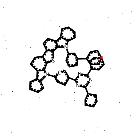 c1ccc(-c2cccc(-n3c4ccccc4c4ccc5c6ccc7c8ccccc8n(-c8ccc(-c9nc(-c%10ccccc%10)nc(-c%10ccccc%10)n9)cc8)c7c6sc5c43)c2)cc1